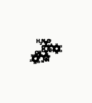 Cn1ncc(C(=O)NC(Cc2ccccc2)C(=O)C(N)=O)c1-c1coc2ccccc12